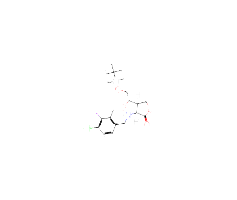 Cc1c(CN2O[C@@H](CO[Si](C)(C)C(C)(C)C)[C@H]3[C@H](C)OC(=O)[C@H]32)ccc(Cl)c1I